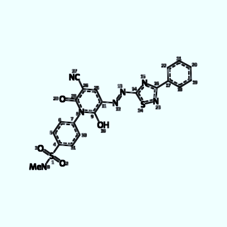 CNS(=O)(=O)c1ccc(-n2c(O)c(N=Nc3nc(-c4ccccc4)ns3)cc(C#N)c2=O)cc1